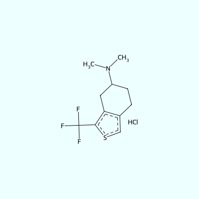 CN(C)C1CCc2csc(C(F)(F)F)c2C1.Cl